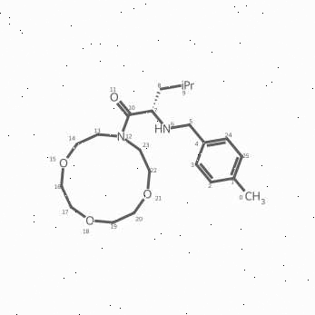 Cc1ccc(CN[C@@H](CC(C)C)C(=O)N2CCOCCOCCOCC2)cc1